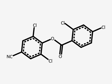 N#Cc1cc(Cl)c(OC(=O)c2ccc(Cl)cc2Cl)c(Cl)c1